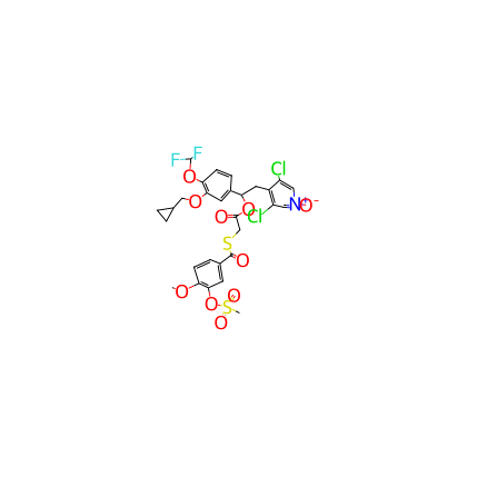 COc1ccc(C(=O)SCC(=O)OC(Cc2c(Cl)c[n+]([O-])cc2Cl)c2ccc(OC(F)F)c(OCC3CC3)c2)cc1OS(C)(=O)=O